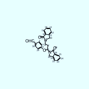 O=Cc1ccc(OC(CCN2Cc3ccccc3C2=O)N2Cc3ccccc3C2=O)cc1